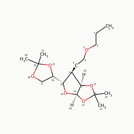 CCCOCC[C@H]1[C@H]2OC(C)(C)O[C@H]2O[C@@H]1C1COC(C)(C)O1